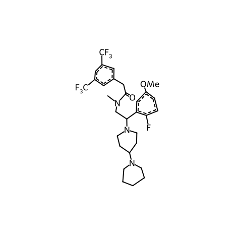 COc1ccc(F)c(C(CN(C)C(=O)Cc2cc(C(F)(F)F)cc(C(F)(F)F)c2)N2CCC(N3CCCCC3)CC2)c1